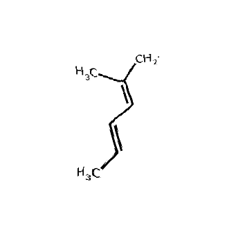 [CH2]C(C)=CC=CC